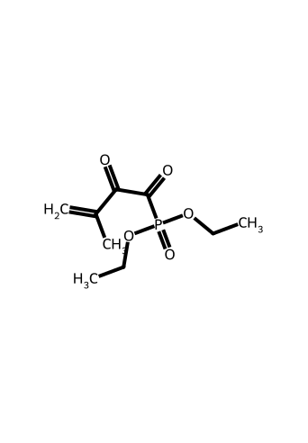 C=C(C)C(=O)C(=O)P(=O)(OCC)OCC